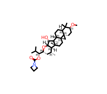 CO[C@H]1CC[C@]23C[C@]24CC[C@]2(C)[C@@H]5[C@H](O[C@@H]([C@H](OC(=O)N6CCC6)C(C)C)C[C@H]5C)[C@H](O)[C@@]2(C)[C@@H]4CC[C@H]3C1(C)C